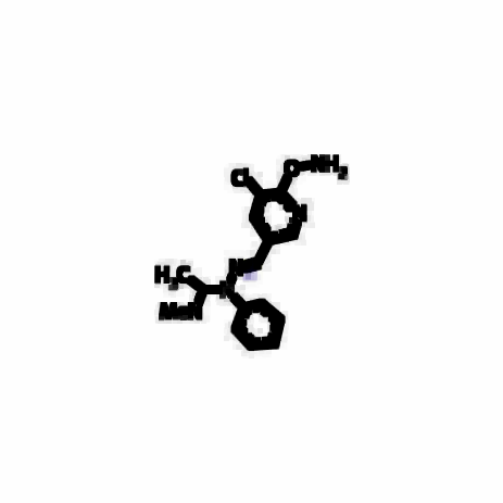 CNC(C)N(/N=C/c1cnc(ON)c(Cl)c1)c1ccccc1